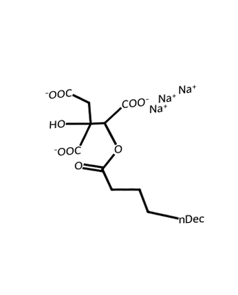 CCCCCCCCCCCCCC(=O)OC(C(=O)[O-])C(O)(CC(=O)[O-])C(=O)[O-].[Na+].[Na+].[Na+]